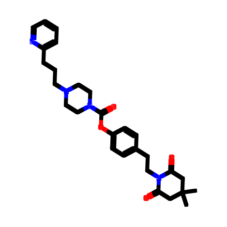 CC1(C)CC(=O)N(CCc2ccc(OC(=O)N3CCN(CCCc4ccccn4)CC3)cc2)C(=O)C1